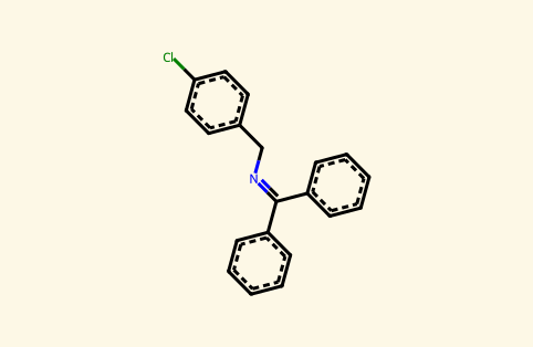 Clc1ccc(CN=C(c2ccccc2)c2ccccc2)cc1